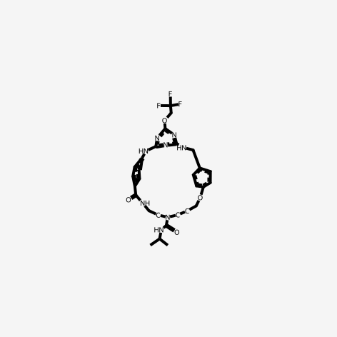 CC(C)NC(=O)N1CCCOc2ccc(cc2)CNc2nc(nc(OCC(F)(F)F)n2)Nc2ccc(cc2)C(=O)NCC1